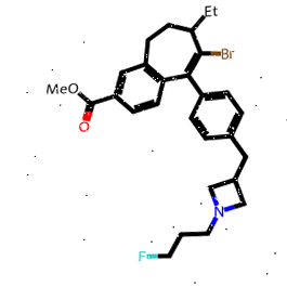 CCC1CCc2cc(C(=O)OC)ccc2C(c2ccc(CC3CN(CCCF)C3)cc2)=C1Br